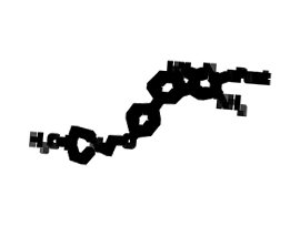 CCCCCc1nc2[nH]c3ccc(-c4ccc(OCCN5CCN(C)CC5)cc4)cc3c2cc1N